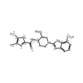 CO[C@H]1CN(c2nc3cccc(C(=O)O)c3s2)CC[C@H]1NC(=O)c1nc(Cl)c(C)[nH]1